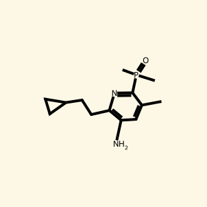 Cc1cc(N)c(CCC2CC2)nc1P(C)(C)=O